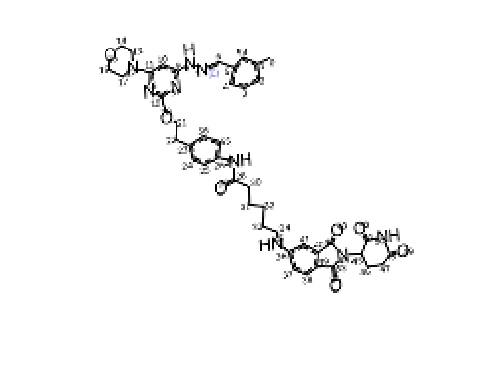 Cc1cccc(/C=N/Nc2cc(N3CCOCC3)nc(OCCc3ccc(NC(=O)CCCCCNc4ccc5c(c4)C(=O)N(C4CCC(=O)NC4=O)C5=O)cc3)n2)c1